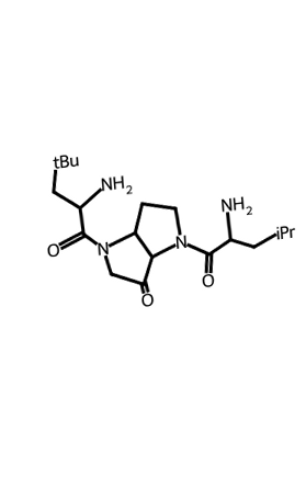 CC(C)CC(N)C(=O)N1CCC2C1C(=O)CN2C(=O)C(N)CC(C)(C)C